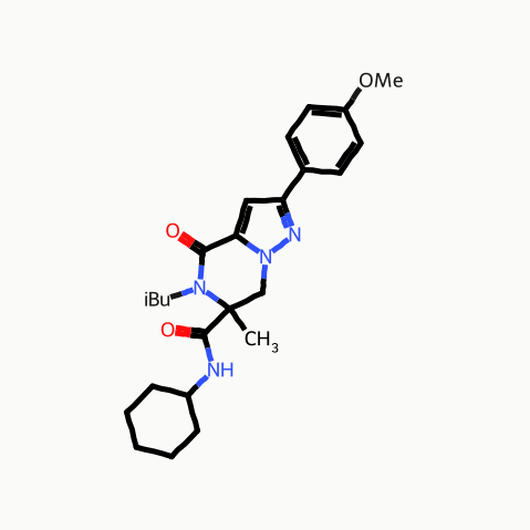 CCC(C)N1C(=O)c2cc(-c3ccc(OC)cc3)nn2CC1(C)C(=O)NC1CCCCC1